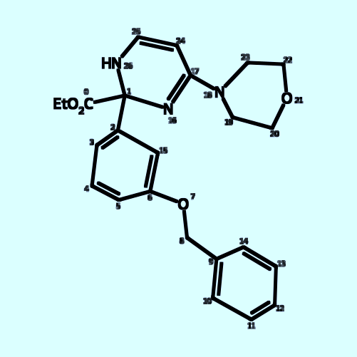 CCOC(=O)C1(c2cccc(OCc3ccccc3)c2)N=C(N2CCOCC2)C=CN1